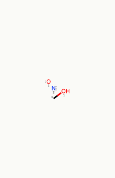 CO.[N].[O]